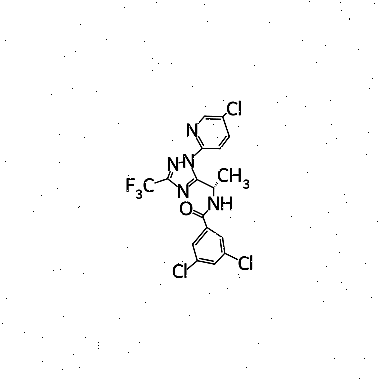 C[C@H](NC(=O)c1cc(Cl)cc(Cl)c1)c1nc(C(F)(F)F)nn1-c1ccc(Cl)cn1